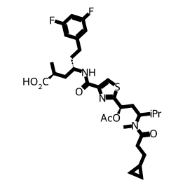 CC(=O)O[C@H](CC(C(C)C)N(C)C(=O)CCC1CC1)c1nc(C(=O)N[C@@H](CCc2cc(F)cc(F)c2)C[C@H](C)C(=O)O)cs1